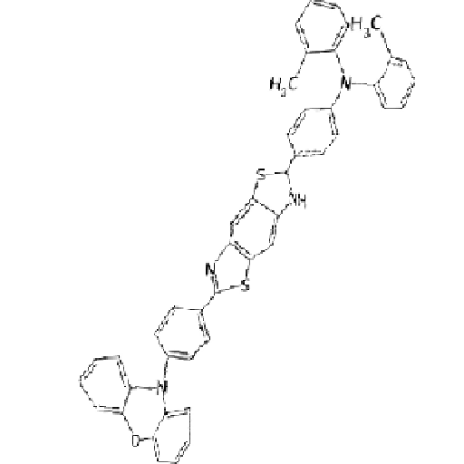 Cc1ccccc1N(c1ccc(C2Nc3cc4sc(-c5ccc(N6c7ccccc7Oc7ccccc76)cc5)nc4cc3S2)cc1)c1ccccc1C